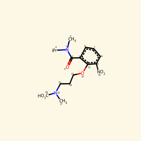 CC(C)N(C)C(=O)c1cccc([N+](=O)[O-])c1OCCCN(C)C(=O)O